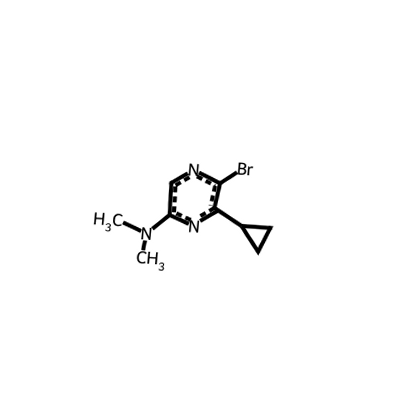 CN(C)c1cnc(Br)c(C2CC2)n1